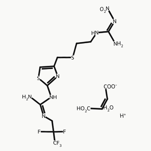 N/C(=N/[N+](=O)[O-])NCCSCc1csc(N/C(N)=N\CC(F)(F)C(F)(F)F)n1.O.O=C([O-])/C=C\C(=O)O.[H+]